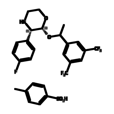 CC(O[C@H]1OCCN[C@H]1c1ccc(F)cc1)c1cc(C(F)(F)F)cc(C(F)(F)F)c1.Cc1ccc(S(=O)(=O)O)cc1